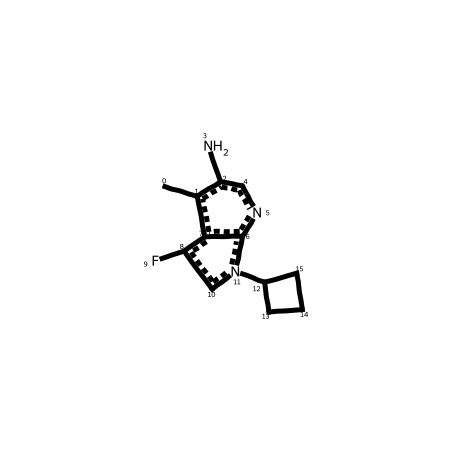 Cc1c(N)cnc2c1c(F)cn2C1CCC1